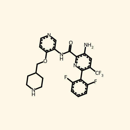 Nc1cc(C(F)(F)F)c(-c2c(F)cccc2F)nc1C(=O)Nc1cnccc1OCC1CCNCC1